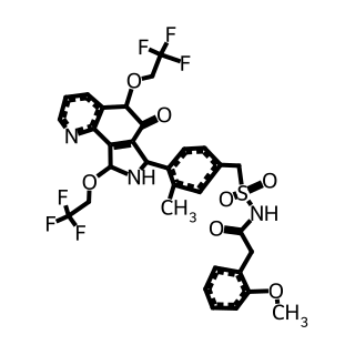 COc1ccccc1CC(=O)NS(=O)(=O)Cc1ccc(C2NC(OCC(F)(F)F)C3=C2C(=O)C(OCC(F)(F)F)c2cccnc23)c(C)c1